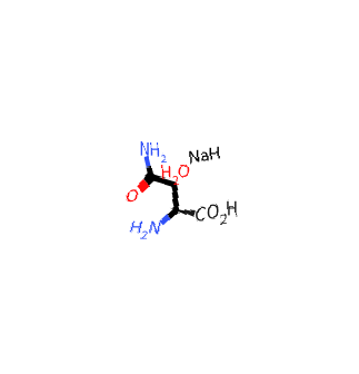 NC(=O)C[C@H](N)C(=O)O.O.[NaH]